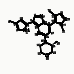 Cc1c[nH]c(-c2cnn3c(-c4c(C)cnn4C)cc(N4CCOC[C@H]4C)nc23)c1